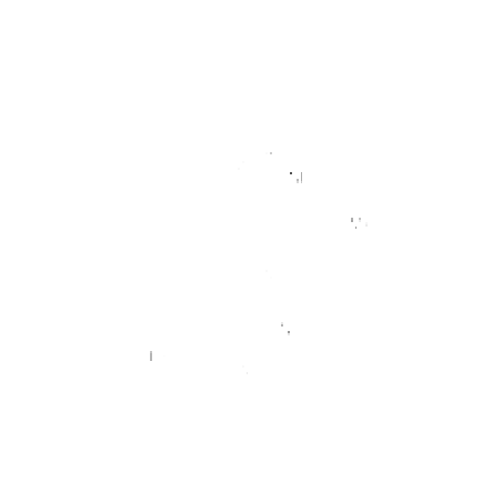 COC1CN(c2cc(C(=O)O)ncn2)CCC1NC(=O)OCc1ccccc1